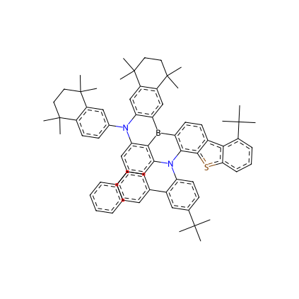 CC(C)(C)c1ccc(N2c3cc(-c4ccccc4)cc4c3B(c3cc5c(cc3N4c3ccc4c(c3)C(C)(C)CCC4(C)C)C(C)(C)CCC5(C)C)c3ccc4c(sc5cccc(C(C)(C)C)c54)c32)c(-c2ccccc2)c1